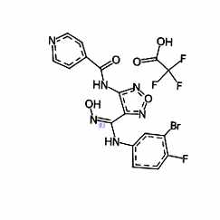 O=C(Nc1nonc1/C(=N\O)Nc1ccc(F)c(Br)c1)c1ccncc1.O=C(O)C(F)(F)F